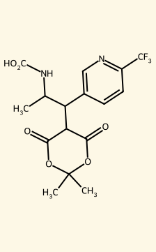 CC(NC(=O)O)C(c1ccc(C(F)(F)F)nc1)C1C(=O)OC(C)(C)OC1=O